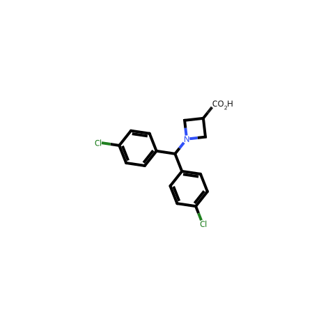 O=C(O)C1CN(C(c2ccc(Cl)cc2)c2ccc(Cl)cc2)C1